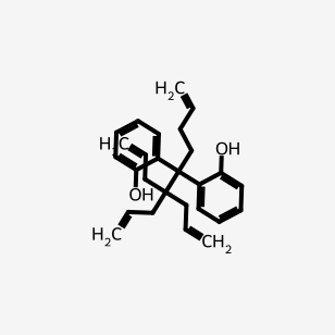 C=CCCC(c1ccccc1O)(c1ccccc1O)C(CC=C)(CC=C)CC=C